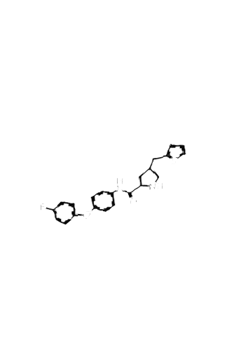 O=C(Nc1ccc(Oc2ccc(F)cc2)cc1)C1CC(Cc2cccs2)CN1